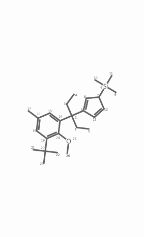 CCC(CC)(C1=CC([Si](C)(C)C)C=C1)c1cc(C)cc(C(C)(C)C)c1OC